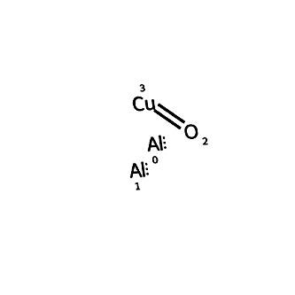 [Al].[Al].[O]=[Cu]